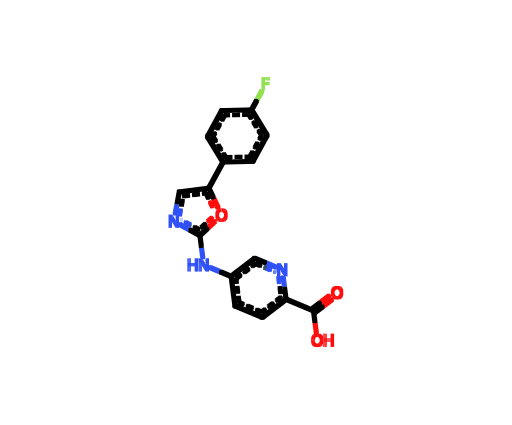 O=C(O)c1ccc(Nc2ncc(-c3ccc(F)cc3)o2)cn1